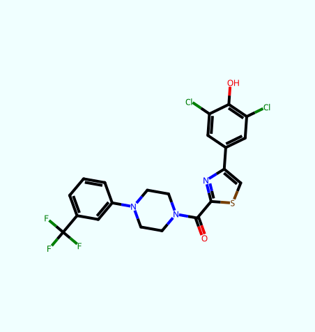 O=C(c1nc(-c2cc(Cl)c(O)c(Cl)c2)cs1)N1CCN(c2cccc(C(F)(F)F)c2)CC1